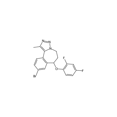 Cc1nnn2c1-c1ccc(Br)cc1C(Oc1ccc(F)cc1F)CC2